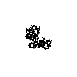 N#C[C@@H]1CCC[C@@H]2SCC[C@H](NC(=O)[C@H](CC[C@H](Cc3ccccc3)C(=O)N[C@H]3CCS[C@H]4CCC[C@@H](C#N)N4C3=O)Cc3ccccc3)C(=O)N12